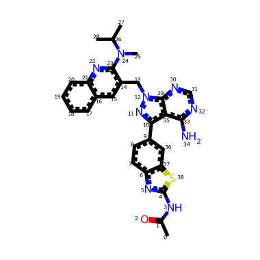 CC(=O)Nc1nc2ccc(-c3nn(Cc4cc5ccccc5nc4N(C)C(C)C)c4ncnc(N)c34)cc2s1